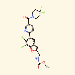 CC(C)(C)OC(=O)NCc1cc2cc(-c3ccc(C(=O)N4CCC(F)(F)CC4)cn3)c(F)c(F)c2o1